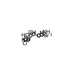 CC1CC2(CC1c1ccc3cc(Br)c(N)nc3c1)CC(n1ccc3c(Cl)ncnc31)C(O)C2O